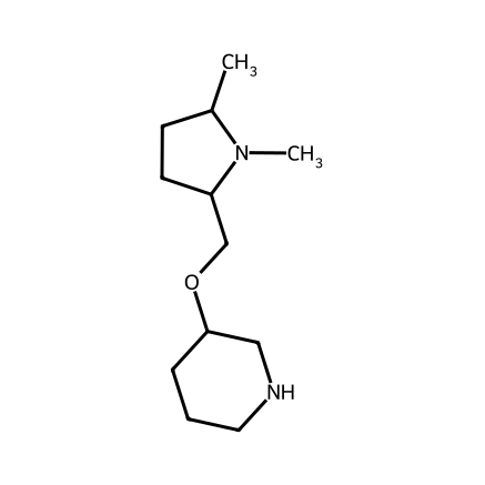 CC1CCC(COC2CCCNC2)N1C